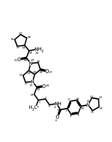 CC(CCNC(=O)c1ccc(N2CCCC2)cc1)CC(=O)N1CCC2C1C(=O)CN2C(=O)C(N)C1CCCC1